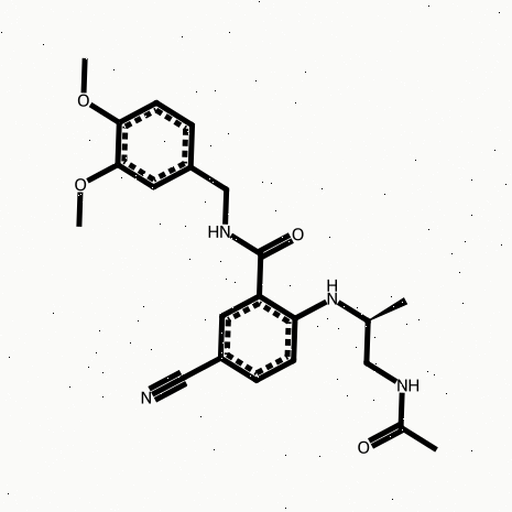 COc1ccc(CNC(=O)c2cc(C#N)ccc2N[C@@H](C)CNC(C)=O)cc1OC